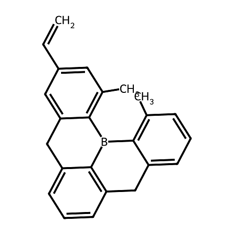 C=Cc1cc(C)c2c(c1)Cc1cccc3c1B2c1c(C)cccc1C3